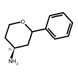 N[C@H]1CCOC(c2ccccc2)C1